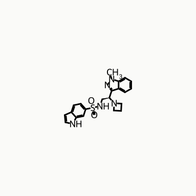 Cn1nc([C@H](CNS(=O)(=O)c2ccc3cc[nH]c3c2)N2CCC2)c2ccccc21